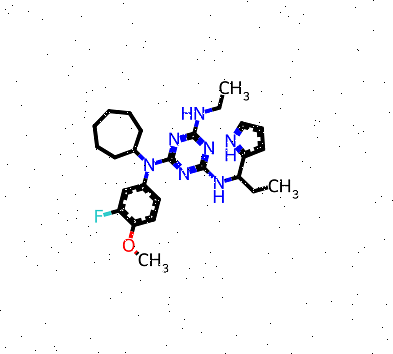 CCNc1nc(NC(CC)c2ccc[nH]2)nc(N(c2ccc(OC)c(F)c2)C2CCCCCC2)n1